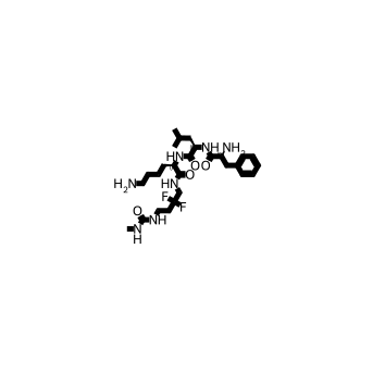 CNC(=O)NCCC(F)(F)CNC(=O)[C@@H](CCCCN)NC(=O)[C@@H](CC(C)C)NC(=O)[C@H](N)Cc1ccccc1